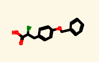 O=C(O)C(Br)Cc1ccc(OCc2ccccc2)cc1